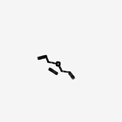 C=C.C=CCOCC=C